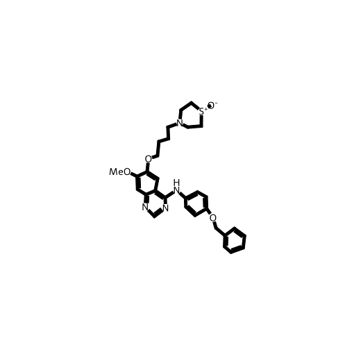 COc1cc2ncnc(Nc3ccc(OCc4ccccc4)cc3)c2cc1OCCCCN1CC[S+]([O-])CC1